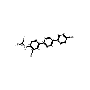 CCCCc1ccc(-c2ccc(-c3ccc(OC(F)F)c(F)c3)cc2)cc1